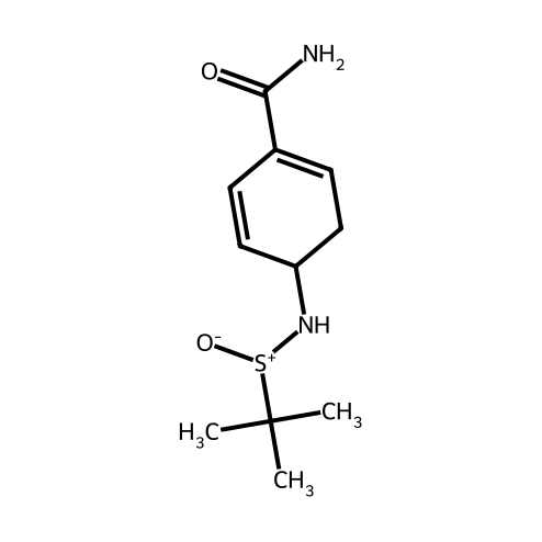 CC(C)(C)[S+]([O-])NC1C=CC(C(N)=O)=CC1